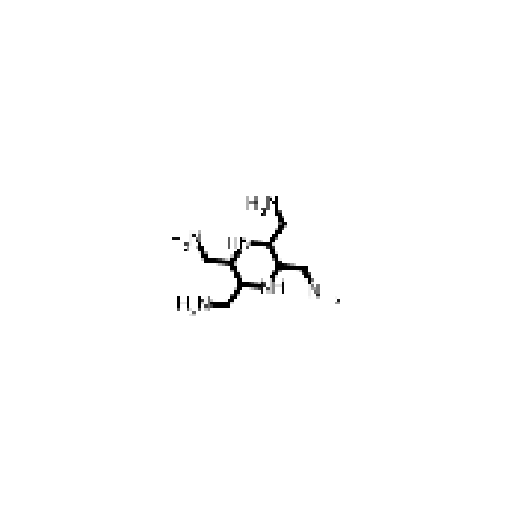 NCC1NC(CN)C(CN)NC1CN